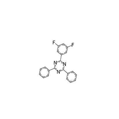 Fc1cc(F)cc(-c2nc(-c3ccccc3)nc(-c3ccccc3)n2)c1